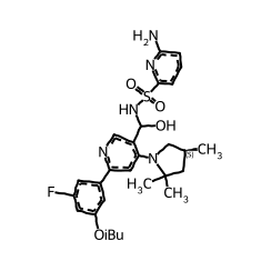 CC(C)COc1cc(F)cc(-c2cc(N3C[C@@H](C)CC3(C)C)c(C(O)NS(=O)(=O)c3cccc(N)n3)cn2)c1